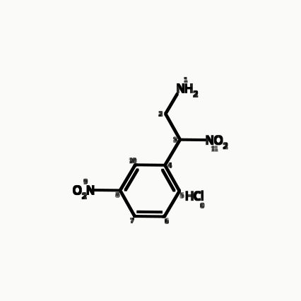 Cl.NCC(c1cccc([N+](=O)[O-])c1)[N+](=O)[O-]